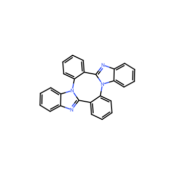 c1ccc2c(c1)nc1c3ccccc3n3c4ccccc4nc3c3ccccc3n21